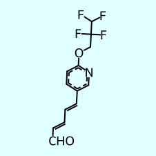 O=CC=CC=Cc1ccc(OCC(F)(F)C(F)F)nc1